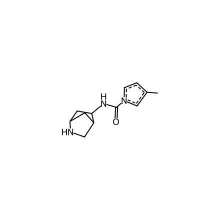 Cc1ccn(C(=O)NC2CC3CC2CN3)c1